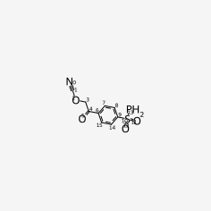 N#COCC(=O)c1ccc(S(=O)(=O)P)cc1